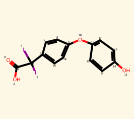 O=C(O)C(I)(I)c1ccc(Oc2ccc(O)cc2)cc1